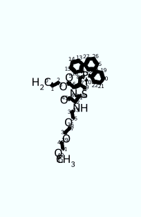 C=CCOC(=O)C1=C(CP(I)(c2ccccc2)(c2ccccc2)c2ccccc2)CSC2[C@H](NCCOCCOCCOC)C(=O)N12